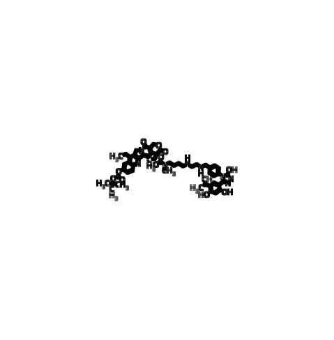 CCc1c2c(nc3ccc(OC(=O)OC(C)(C)C)cc13)-c1cc3c(c(=O)n1C2)COC(=O)C3(CC)OC(=O)N(C)CCCCNCCNCc1ccc(-n2c(O)nnc2-c2cc(C(C)C)c(O)cc2O)cc1